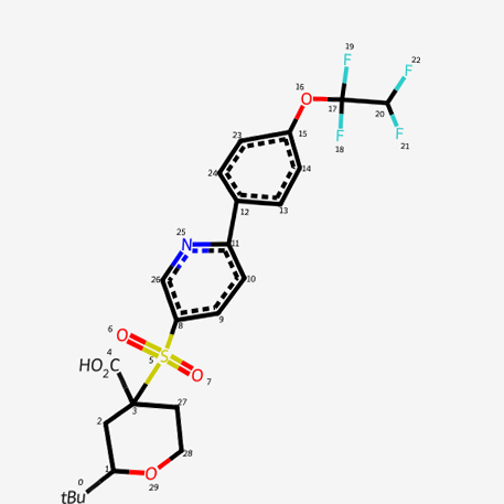 CC(C)(C)C1CC(C(=O)O)(S(=O)(=O)c2ccc(-c3ccc(OC(F)(F)C(F)F)cc3)nc2)CCO1